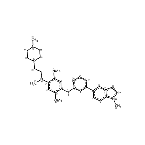 CNc1cc(Nc2cc(-c3ccc4c(cnn4C)c3)ncn2)c(OC)cc1N(C)CCN1CCN(C)CC1